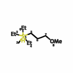 CC[SH](C)(CC)(CC)CCCOC